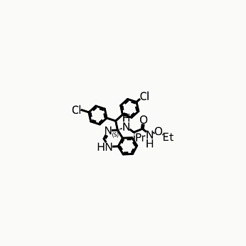 CCONC(=O)C(N[C@@]1(C(c2ccc(Cl)cc2)c2ccc(Cl)cc2)N=CNc2ccccc21)C(C)C